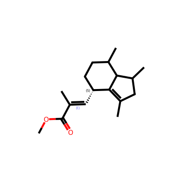 COC(=O)/C(C)=C/[C@@H]1CCC(C)C2C1=C(C)CC2C